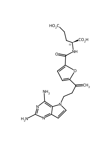 C=C(CCn1ccc2nc(N)nc(N)c21)c1ccc(C(=O)N[C@@H](CCC(=O)O)C(=O)O)o1